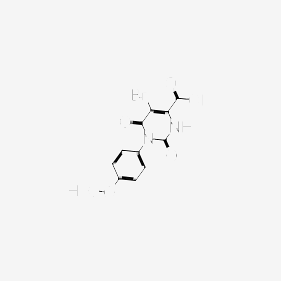 COc1ccc(-n2c(=O)[nH]c(C(=O)O)c(Br)c2=O)cc1